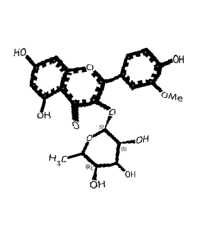 COc1cc(-c2oc3cc(O)cc(O)c3c(=O)c2O[C@@H]2OC(C)[C@H](O)C(O)[C@@H]2O)ccc1O